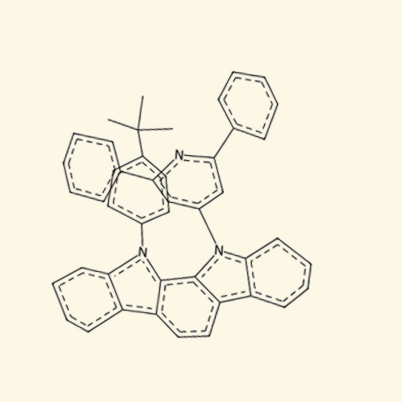 CC(C)(C)c1ccc(-n2c3ccccc3c3ccc4c5ccccc5n(-c5cc(-c6ccccc6)nc(-c6ccccc6)c5)c4c32)cc1